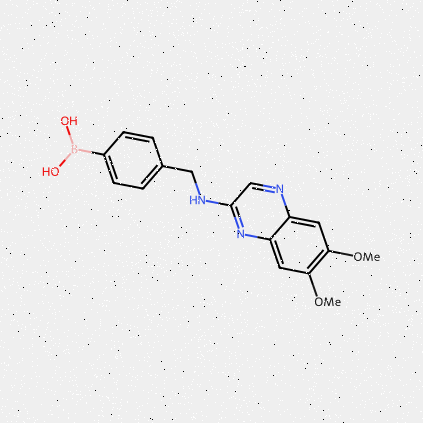 COc1cc2ncc(NCc3ccc(B(O)O)cc3)nc2cc1OC